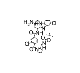 CC(C)(C)OC(=O)NCC1CCCN1C(=O)c1ccc(C(=O)NC(CC(N)=O)c2nc3cc(Cl)ccc3[nH]2)cc1Cl